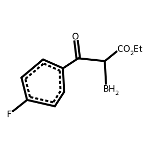 BC(C(=O)OCC)C(=O)c1ccc(F)cc1